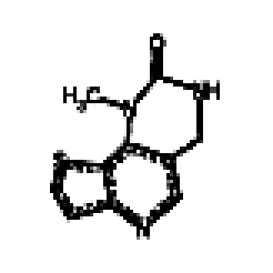 CN1C(=O)NCc2cnc3ccsc3c21